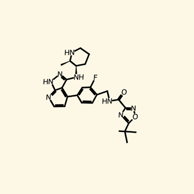 C[C@H]1NCCC[C@H]1Nc1n[nH]c2nccc(-c3ccc(CNC(=O)c4noc(C(C)(C)C)n4)c(F)c3)c12